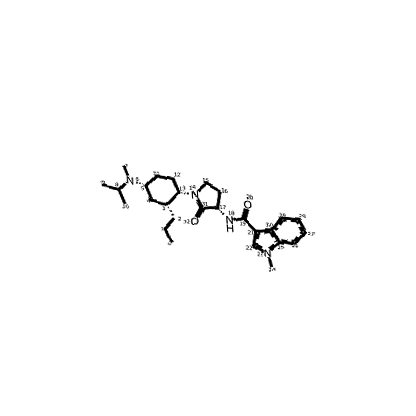 CCC[C@@H]1C[C@H](N(C)C(C)C)CC[C@@H]1N1CC[C@H](NC(=O)c2cn(C)c3ccccc23)C1=O